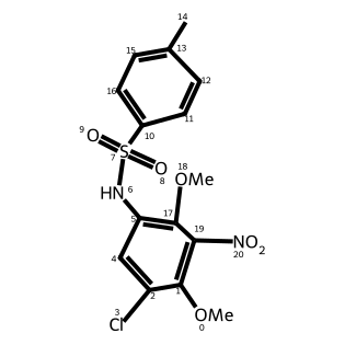 COc1c(Cl)cc(NS(=O)(=O)c2ccc(C)cc2)c(OC)c1[N+](=O)[O-]